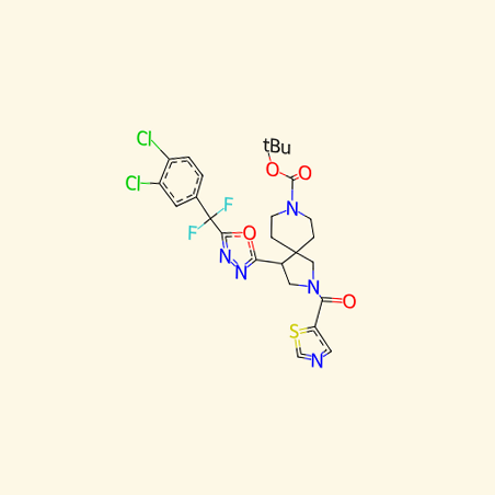 CC(C)(C)OC(=O)N1CCC2(CC1)CN(C(=O)c1cncs1)CC2c1nnc(C(F)(F)c2ccc(Cl)c(Cl)c2)o1